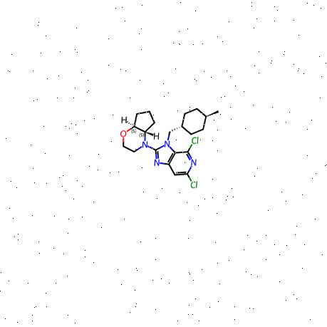 C[C@H]1CC[C@H](Cn2c(N3CCO[C@H]4CCC[C@@H]43)nc3cc(Cl)nc(Cl)c32)CC1